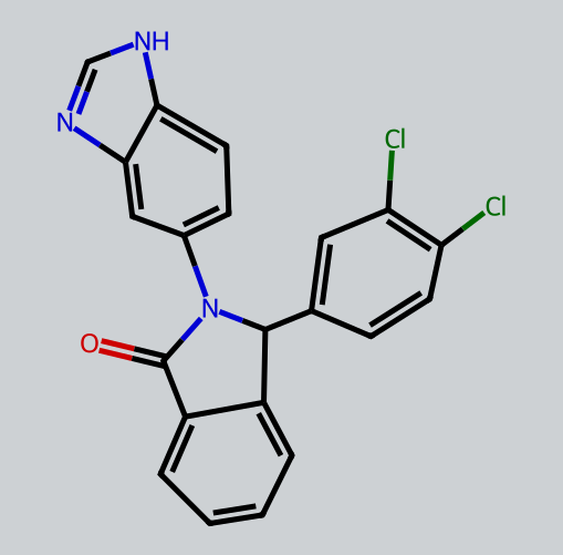 O=C1c2ccccc2C(c2ccc(Cl)c(Cl)c2)N1c1ccc2[nH]cnc2c1